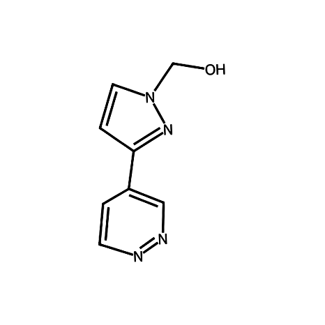 OCn1ccc(-c2ccnnc2)n1